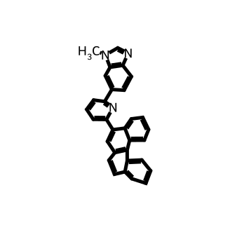 Cn1cnc2ccc(-c3cccc(-c4cc5ccc6ccccc6c5c5ccccc45)n3)cc21